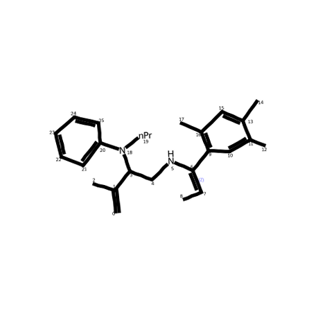 C=C(C)C(CN/C(=C\C)c1cc(C)c(C)cc1C)N(CCC)c1ccccc1